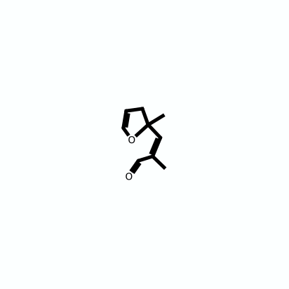 CC(C=O)=CC1(C)CC=CO1